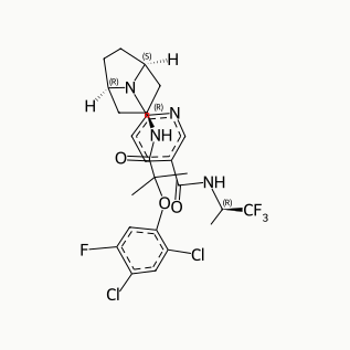 C[C@@H](NC(=O)c1ccc(N2[C@@H]3CC[C@H]2C[C@@H](NC(=O)C(C)(C)Oc2cc(F)c(Cl)cc2Cl)C3)nc1)C(F)(F)F